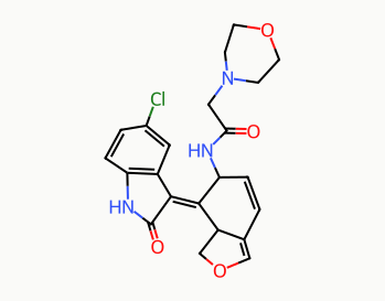 O=C(CN1CCOCC1)NC1C=CC2=COCC2C1=C1C(=O)Nc2ccc(Cl)cc21